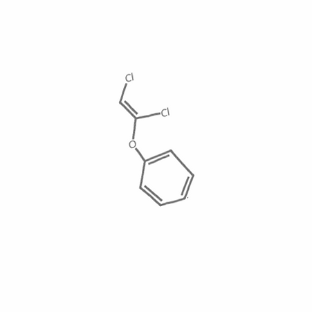 Cl/C=C(\Cl)Oc1cc[c]cc1